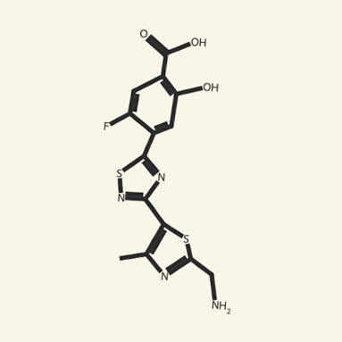 Cc1nc(CN)sc1-c1nsc(-c2cc(O)c(C(=O)O)cc2F)n1